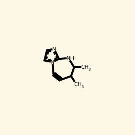 CC1C#Cn2ccnc2NC1C